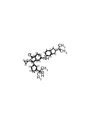 CN(C)C1Cc2ccc(Nc3cc4c(cn3)c(=O)n(C3CC3)n4-c3ccnc(C(C)(C)O)c3)cc2C1